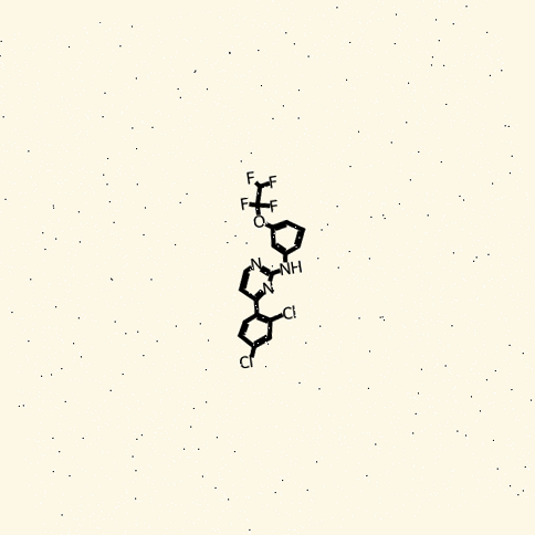 FC(F)C(F)(F)Oc1cccc(Nc2nccc(-c3ccc(Cl)cc3Cl)n2)c1